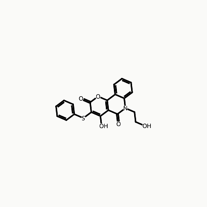 O=c1oc2c(c(O)c1Sc1ccccc1)c(=O)n(CCO)c1ccccc21